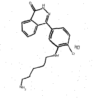 Cl.NCCCCCNc1cc(-c2n[nH]c(=O)c3ccccc23)ccc1Cl